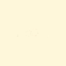 CCCCc1cc2cc(C(=O)O)ccn2c1